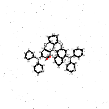 C1=CC2C(N(c3ccccc3)c3cccnc3)=CC3=C(B4c5c(cccc5Oc5cc(N(c6ccccc6)c6cccnc6)c6ccccc6c54)O3)C2C=C1